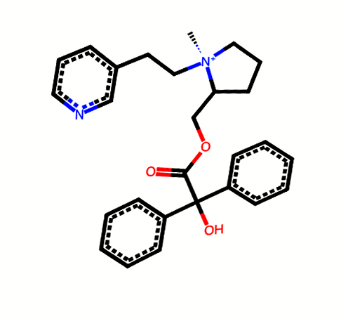 C[N@+]1(CCc2cccnc2)CCCC1COC(=O)C(O)(c1ccccc1)c1ccccc1